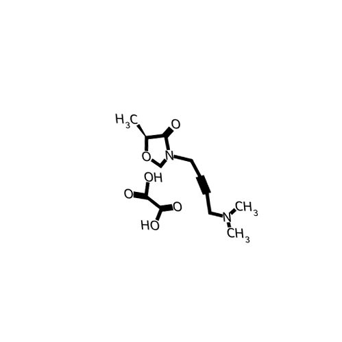 C[C@@H]1OCN(CC#CCN(C)C)C1=O.O=C(O)C(=O)O